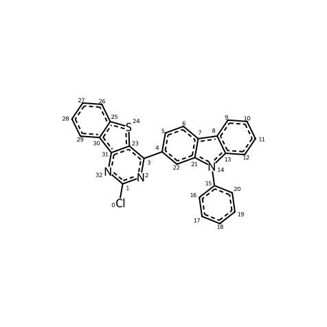 Clc1nc(-c2ccc3c4ccccc4n(-c4ccccc4)c3c2)c2sc3ccccc3c2n1